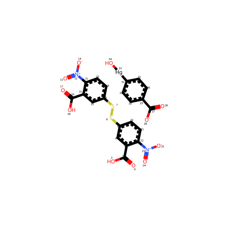 O=C(O)c1cc(SSc2ccc([N+](=O)[O-])c(C(=O)O)c2)ccc1[N+](=O)[O-].O=C([O-])c1cc[c]([Hg][OH])cc1